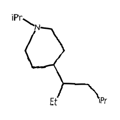 CCC(CC(C)C)C1CCN(C(C)C)CC1